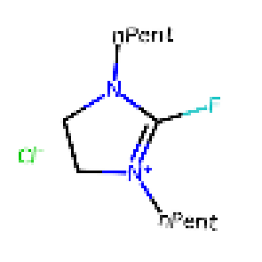 CCCCCN1CC[N+](CCCCC)=C1F.[Cl-]